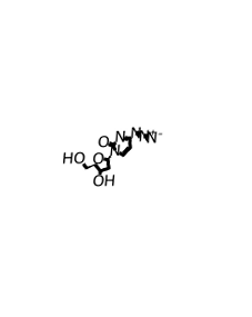 [N-]=[N+]=Nc1ccn([C@H]2CC(O)[C@@H](CO)O2)c(=O)n1